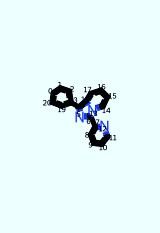 c1ccc(-c2nc(-c3ccccn3)n3ccccc23)cc1